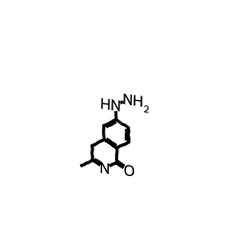 CC1=NC(=O)c2ccc(NN)cc2C1